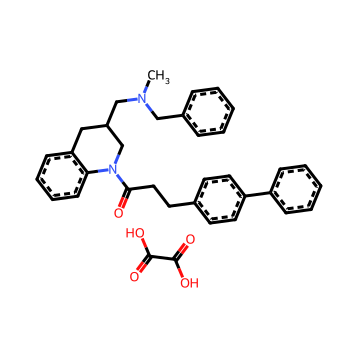 CN(Cc1ccccc1)CC1Cc2ccccc2N(C(=O)CCc2ccc(-c3ccccc3)cc2)C1.O=C(O)C(=O)O